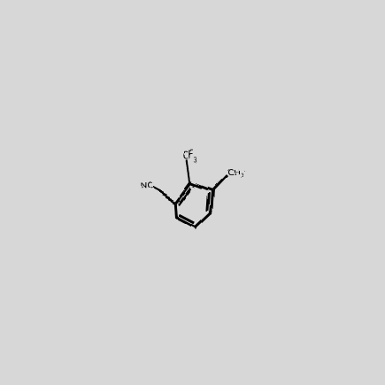 [CH2]c1cccc(C#N)c1C(F)(F)F